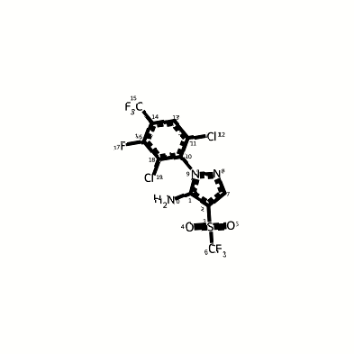 Nc1c(S(=O)(=O)C(F)(F)F)cnn1-c1c(Cl)cc(C(F)(F)F)c(F)c1Cl